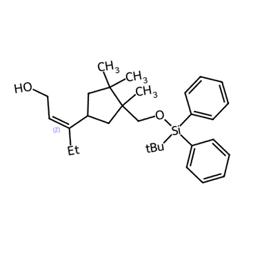 CC/C(=C/CO)C1CC(C)(C)C(C)(CO[Si](c2ccccc2)(c2ccccc2)C(C)(C)C)C1